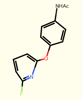 CC(=O)Nc1ccc(Oc2cccc(F)n2)cc1